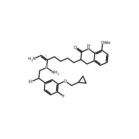 CCC(CN(N)/C(=C\N)CCCCC1Cc2cccc(OC)c2NC1=O)c1ccc(F)c(OCC2CC2)c1